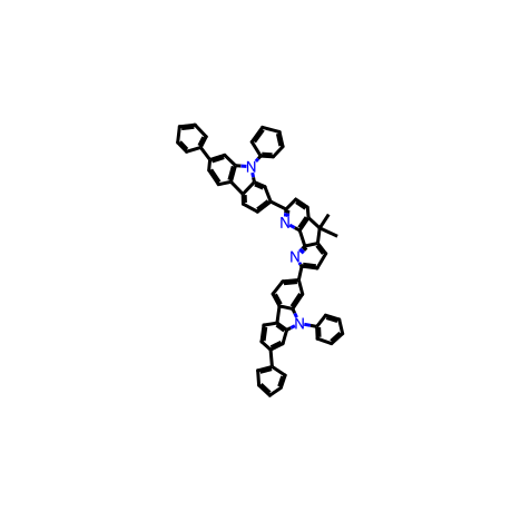 CC1(C)c2ccc(-c3ccc4c5ccc(-c6ccccc6)cc5n(-c5ccccc5)c4c3)nc2-c2nc(-c3ccc4c5ccc(-c6ccccc6)cc5n(-c5ccccc5)c4c3)ccc21